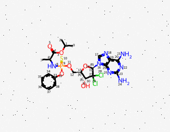 CC(C)OC(=O)C(C)NP(=S)(OC[C@H]1O[C@@H](n2cnc3c(N)nc(N)nc32)C(Cl)(Cl)[C@@H]1O)Oc1ccccc1